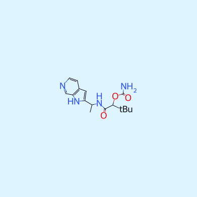 CC(NC(=O)C(OC(N)=O)C(C)(C)C)c1cc2ccncc2[nH]1